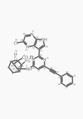 CCOC(=O)[C@@H]1C2CCC(CC2)[C@H]1Nc1cc(C#Cc2ccccc2)nc(-c2c[nH]c3ncc(Cl)nc23)n1